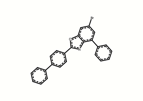 Brc1cc(-c2ccccc2)c2nc(-c3ccc(-c4ccccc4)cc3)oc2c1